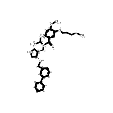 COCCCOc1cc(C(=O)N(C[C@@H]2CNC[C@H]2OCc2cccc(-c3ccccc3)c2)C(C)C)ccc1OC